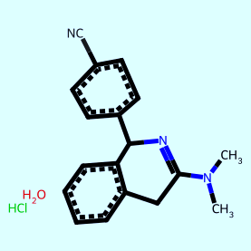 CN(C)C1=NC(c2ccc(C#N)cc2)c2ccccc2C1.Cl.O